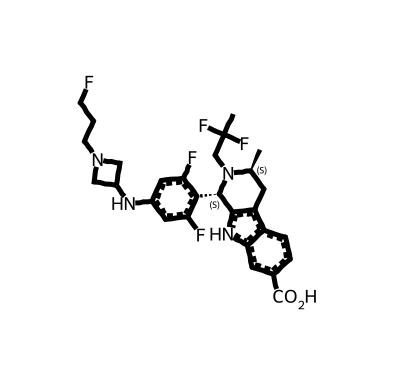 C[C@H]1Cc2c([nH]c3cc(C(=O)O)ccc23)[C@H](c2c(F)cc(NC3CN(CCCF)C3)cc2F)N1CC(C)(F)F